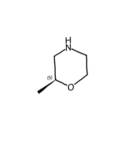 C[C@H]1CNCCO1